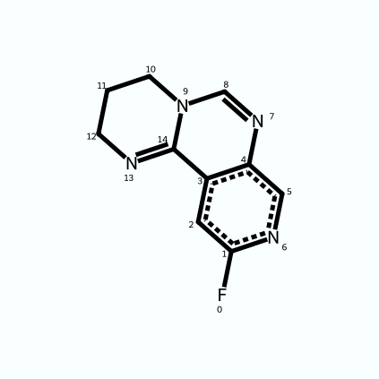 Fc1cc2c(cn1)N=CN1CCCN=C21